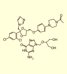 CC(=O)N1CCN(c2ccc(OC[C@H]3CO[C@](Cn4ccnc4)(c4ccc(Cl)cc4Cl)O3)cc2)CC1.Nc1nc2c(ncn2COC(CO)CO)c(=O)[nH]1